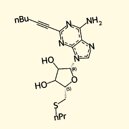 CCCCC#Cc1nc(N)c2ncn([C@@H]3O[C@H](CSCCC)C(O)C3O)c2n1